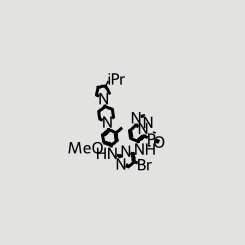 COc1cc(N2CCC(N3CC[C@@H](C(C)C)C3)CC2)c(C)cc1Nc1ncc(Br)c(Nc2ccc3ncnn3c2P(C)(C)=O)n1